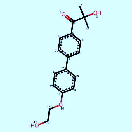 CC(C)(O)C(=O)c1ccc(-c2ccc(OCCO)cc2)cc1